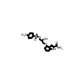 Cc1ccc(S(=O)(=O)OCC(O)COc2cccc3[nH]c(C(N)=O)cc23)cc1